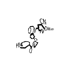 COc1ncc(N2CCOc3ccc(OC4CCN(C(=O)C5CCNCC5)C4)cc32)cc1C#N